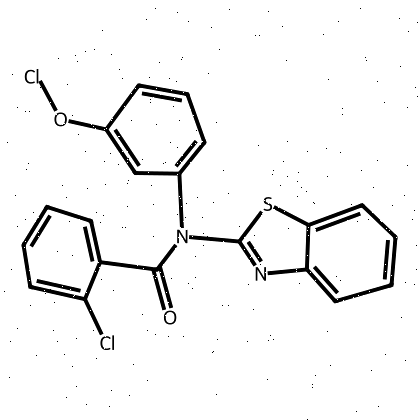 O=C(c1ccccc1Cl)N(c1cccc(OCl)c1)c1nc2ccccc2s1